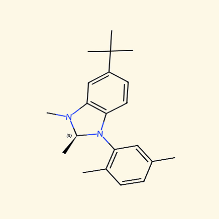 Cc1ccc(C)c(N2c3ccc(C(C)(C)C)cc3N(C)[C@@H]2C)c1